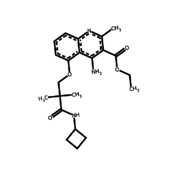 CCOC(=O)c1c(C)nc2cccc(OCC(C)(C)C(=O)NC3CCC3)c2c1N